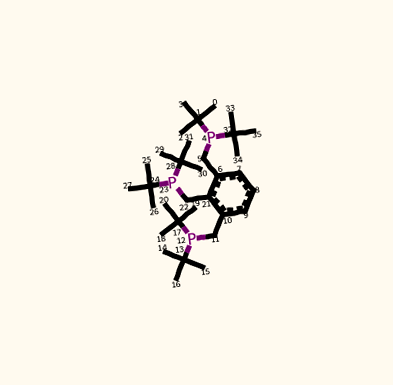 CC(C)(C)P(Cc1cccc(CP(C(C)(C)C)C(C)(C)C)c1CP(C(C)(C)C)C(C)(C)C)C(C)(C)C